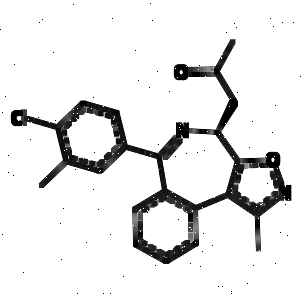 CC(=O)C[C@@H]1N=C(c2ccc(Cl)c(C)c2)c2ccccc2-c2c(C)noc21